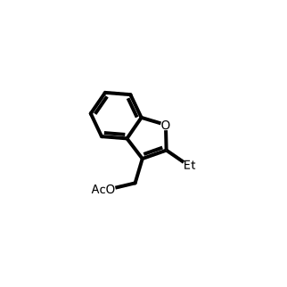 CCc1oc2ccccc2c1COC(C)=O